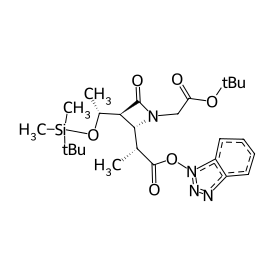 C[C@@H](O[Si](C)(C)C(C)(C)C)[C@H]1C(=O)N(CC(=O)OC(C)(C)C)[C@@H]1[C@@H](C)C(=O)On1nnc2ccccc21